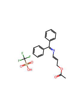 CC(=O)OCC=CN=C(c1ccccc1)c1ccccc1.O=S(=O)(O)C(F)(F)F